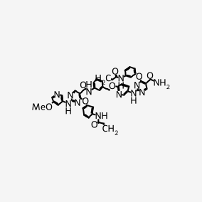 C=CC(=O)Nc1cccc(Oc2nc(Nc3ccc(OCc4cccc(NC(=O)c5cnc(Nc6cncc(OC)c6)nc5Oc5cccc(NC(=O)C=C)c5)c4)nc3)ncc2C(N)=O)c1